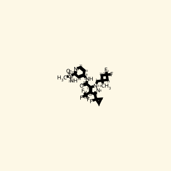 CC1(Cn2nc(C3(F)CC3)c(C(F)(F)F)c2C(=O)Nc2ccnc(S(C)(=N)=O)c2)CC(F)(F)C1